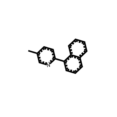 Cc1ccc(-c2cccc3ccccc23)nc1